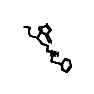 CCCC(CCCNCc1ccccc1)c1n[c]c[nH]1